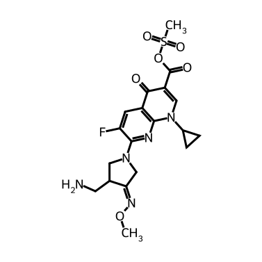 CON=C1CN(c2nc3c(cc2F)c(=O)c(C(=O)OS(C)(=O)=O)cn3C2CC2)CC1CN